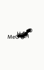 COC1CCc2sc(S(=O)(=O)NC(=O)Cc3c(C)cc(-c4ccc5c(c4)COCC5)cc3P)cc2C1